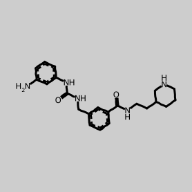 Nc1cccc(NC(=O)NCc2cccc(C(=O)NCCC3CCCNC3)c2)c1